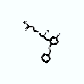 O=C(O)CCSC[C@@H](O)Cc1cc(Cl)ccc1OCc1ccccc1